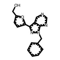 OCc1ccc(-c2nn(Cc3ccccc3)c3ncncc23)o1